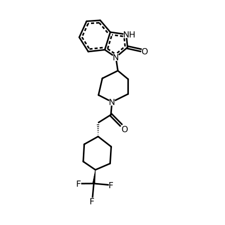 O=C(C[C@H]1CC[C@H](C(F)(F)F)CC1)N1CCC(n2c(=O)[nH]c3ccccc32)CC1